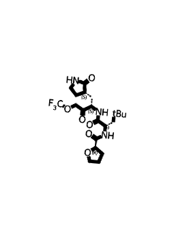 CC(C)(C)C[C@H](NC(=O)[C@H]1CCCO1)C(=O)N[C@@H](C[C@@H]1CCNC1=O)C(=O)COC(F)(F)F